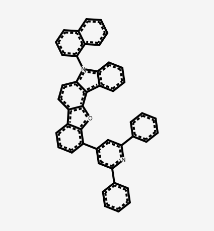 c1ccc(-c2cc(-c3cccc4c3oc3c4ccc4c3c3ccccc3n4-c3cccc4ccccc34)cc(-c3ccccc3)n2)cc1